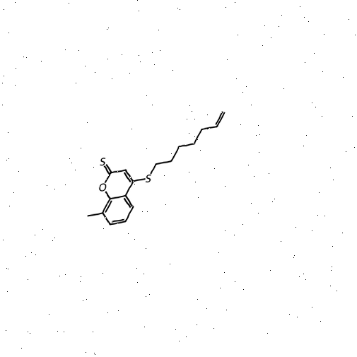 C=CCCCCCSc1cc(=S)oc2c(C)cccc12